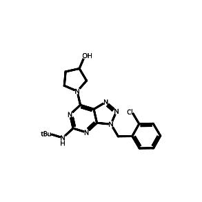 CC(C)(C)Nc1nc(N2CCC(O)C2)c2nnn(Cc3ccccc3Cl)c2n1